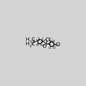 CC(C)c1ccc(OC(=O)c2ccc(Cl)cc2Cl)cc1